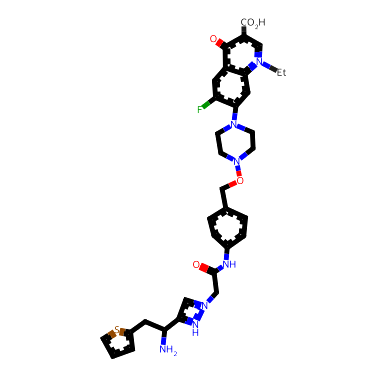 CCn1cc(C(=O)O)c(=O)c2cc(F)c(N3CCN(OCc4ccc(NC(=O)Cn5cc(C(N)Cc6cccs6)[nH]5)cc4)CC3)cc21